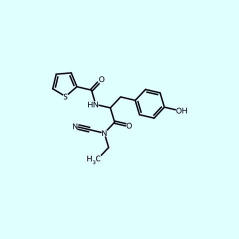 CCN(C#N)C(=O)C(Cc1ccc(O)cc1)NC(=O)c1cccs1